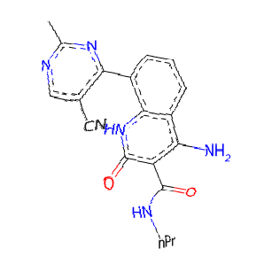 CCCNC(=O)c1c(N)c2cccc(-c3nc(C)ncc3C#N)c2[nH]c1=O